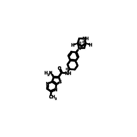 Cc1cnc2c(N)c(C(=O)N[C@@H]3CCc4cc(N5C[C@@H]6C[C@H]5CN6)ccc4C3)sc2n1